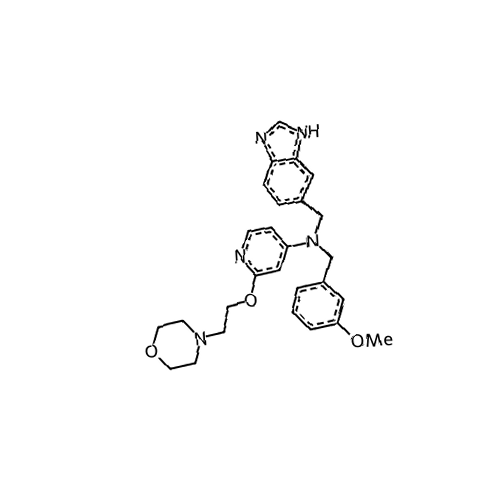 COc1cccc(CN(Cc2ccc3nc[nH]c3c2)c2ccnc(OCCN3CCOCC3)c2)c1